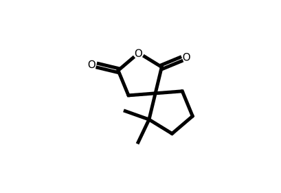 CC1(C)CCCC12CC(=O)OC2=O